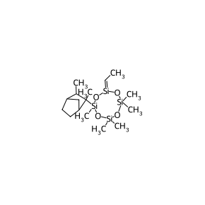 CC=[Si]1O[Si](C)(C)O[Si](C)(C)O[Si](C)(C2(C)C3CCC(C3)C2C)O1